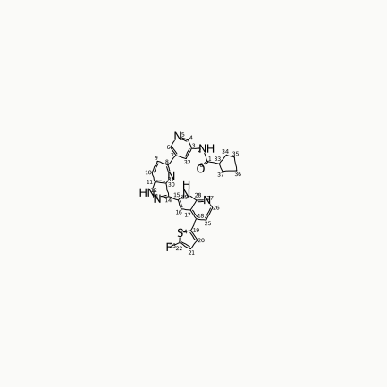 O=C(Nc1cncc(-c2ccc3[nH]nc(-c4cc5c(-c6ccc(F)s6)ccnc5[nH]4)c3n2)c1)C1CCCC1